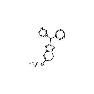 O=C(O)OC1=Cc2cc(C(c3ccccc3)n3ccnc3)sc2CC1